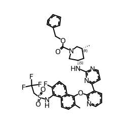 Cc1ccc2c(NS(=O)(=O)CC(F)(F)F)c(F)ccc2c1Oc1ncccc1-c1ccnc(N[C@H]2C[C@@H](C)CN(C(=O)OCc3ccccc3)C2)n1